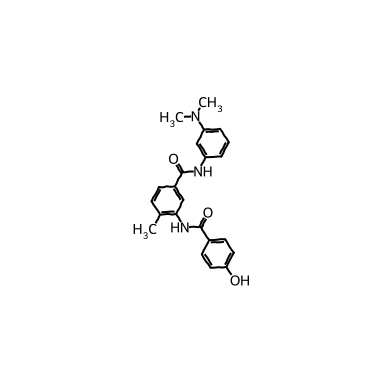 Cc1ccc(C(=O)Nc2cccc(N(C)C)c2)cc1NC(=O)c1ccc(O)cc1